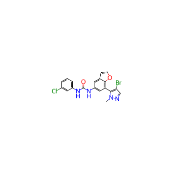 Cn1ncc(Br)c1-c1cc(NC(=O)Nc2cccc(Cl)c2)cc2ccoc12